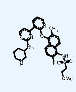 COCCS(=O)(=O)Nc1c(F)ccc2c(Oc3ncccc3-c3ccnc(NC4CCCNC4)n3)c(C)ccc12